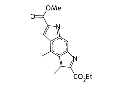 CCOC(=O)C1=Nc2cc3c(c(C)c2=C1C)C=C(C(=O)OC)N=3